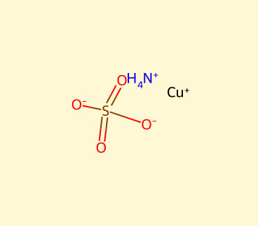 O=S(=O)([O-])[O-].[Cu+].[NH4+]